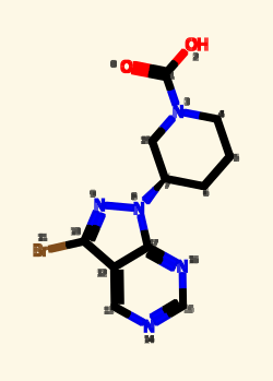 O=C(O)N1CCC[C@@H](n2nc(Br)c3cncnc32)C1